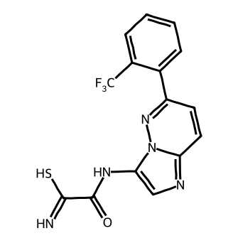 N=C(S)C(=O)Nc1cnc2ccc(-c3ccccc3C(F)(F)F)nn12